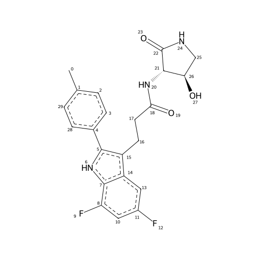 Cc1ccc(-c2[nH]c3c(F)cc(F)cc3c2CCC(=O)N[C@@H]2C(=O)NC[C@H]2O)cc1